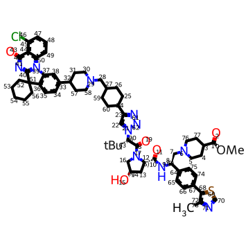 COC(=O)C1CCN(C[C@H](NC(=O)[C@@H]2C[C@@H](O)CN2C(=O)[C@@H](n2cc(C3CCC(CN4CCC(c5ccc6c(c5)-n5c(nc(=O)c7c(Cl)cccc75)C65CCCCC5)CC4)CC3)nn2)C(C)(C)C)c2ccc(-c3scnc3C)cc2)CC1